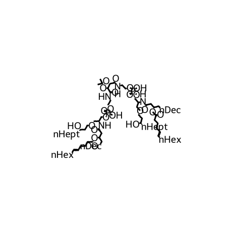 CCCCCC/C=C/CCCC(=O)OC(CCCCCCCCCCC)CC(=O)NC(COCC[C@H](O)CCCCCCC)COP(=O)(O)OCCNC(=O)C1OC(C)(C)OC1C(=O)NCCOP(=O)(O)OCC(COCC[C@H](O)CCCCCCC)NC(=O)CC(CCCCCCCCCCC)OC(=O)CCC/C=C/CCCCCC